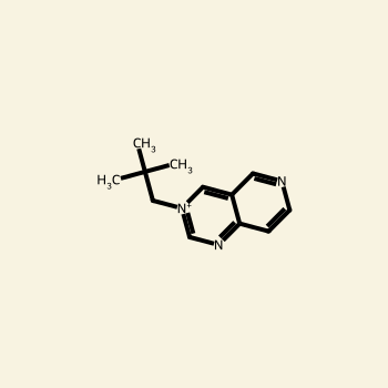 CC(C)(C)C[n+]1cnc2ccncc2c1